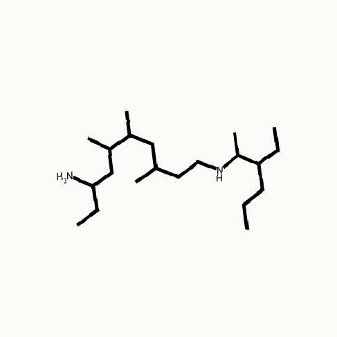 CCCC(CC)C(C)NCCC(C)CC(C)C(C)CC(N)CC